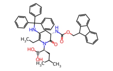 CCC1=C(NC(c2ccccc2)(c2ccccc2)c2ccccc2)C[C@H](NC(=O)OCC2c3ccccc3-c3ccccc32)C(=O)N1[C@@H](CC(C)C)B(O)O